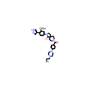 COc1cc(N2CCC3(CCN(C(=O)c4ccc(N5CCN(CCC(C)C)CC5)cc4)CC3)C2=O)ccc1-c1cn[nH]c1